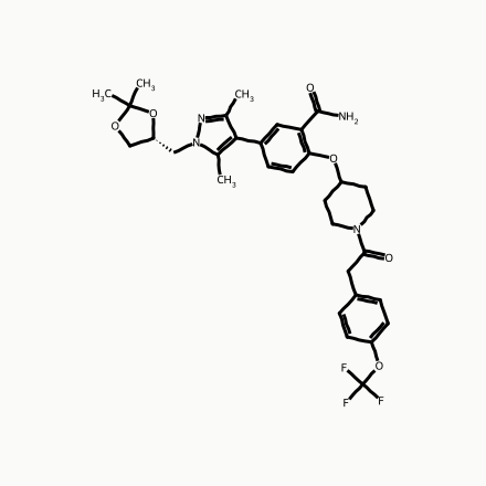 Cc1nn(C[C@@H]2COC(C)(C)O2)c(C)c1-c1ccc(OC2CCN(C(=O)Cc3ccc(OC(F)(F)F)cc3)CC2)c(C(N)=O)c1